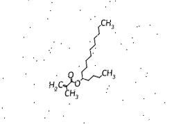 C=C(C)C(=O)OC(CCCC)CCCCCCCCCC